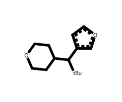 CC(C)(C)C(c1ccoc1)C1CCOCC1